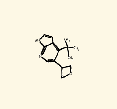 CC(C)(C)c1c(C2COC2)cnc2[nH]ccc12